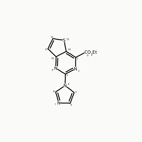 CCOC(=O)c1nc(-n2ccnc2)nc2ccsc12